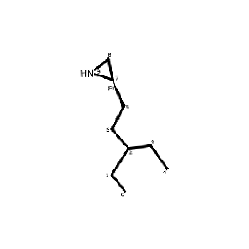 CCC(CC)CC[C@@H]1CN1